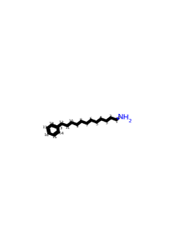 NCCCCCCCCCCCCc1[c]cccc1